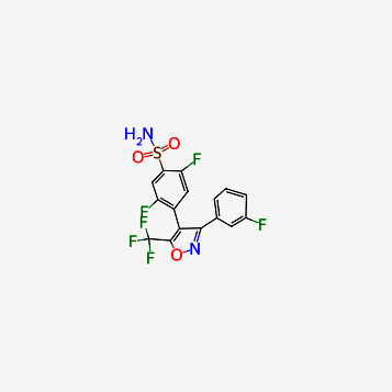 NS(=O)(=O)c1cc(F)c(-c2c(-c3cccc(F)c3)noc2C(F)(F)F)cc1F